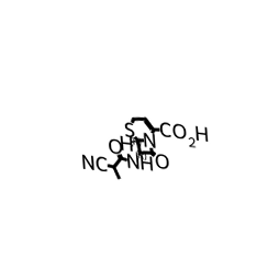 CC(C#N)C(=O)N[C@@H]1C(=O)N2C(C(=O)O)=CCS[C@H]12